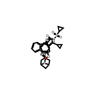 O=C(NS(=O)(=O)C1CC1)c1ccc2nc(N3C4CC(NCc5c(-c6ccccc6C(F)(F)F)noc5C5CC5)CC3C4)oc2c1